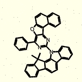 CC1(C)c2ccccc2-c2ccc3c4ccccc4n(-c4nc(-c5ccccc5)c5oc6ccc7ccccc7c6c5n4)c3c21